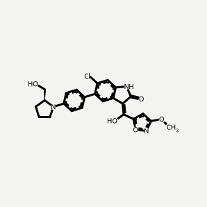 COc1cc(C(O)=C2C(=O)Nc3cc(Cl)c(-c4ccc(N5CCC[C@H]5CO)cc4)cc32)on1